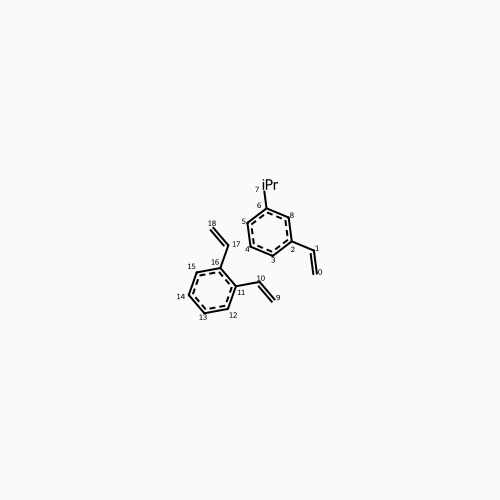 C=Cc1cccc(C(C)C)c1.C=Cc1ccccc1C=C